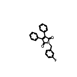 O=C1C(c2ccccc2)=C(c2ccccc2)C(=O)N1Cc1cccc(F)c1